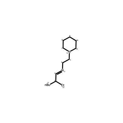 CCCCC(C=NCCN1CCCCC1)CC